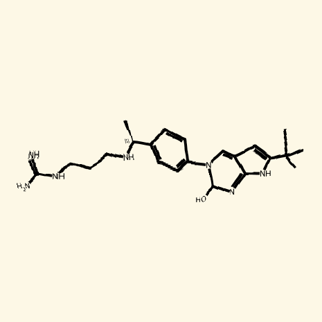 C[C@H](NCCCNC(=N)N)c1ccc(N2C=c3cc(C(C)(C)C)[nH]c3=NC2O)cc1